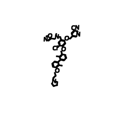 Cc1c(COc2cc(OCc3cncc(C#N)c3)c(CN(C)Cc3cnco3)cc2Cl)cccc1-c1cccc(OCCCN2CCCC2)c1C